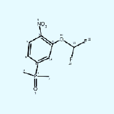 CP(C)(=O)c1ccc([N+](=O)[O-])c(OC(F)F)c1